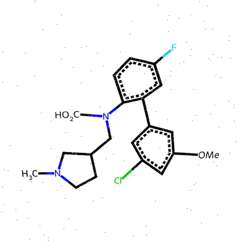 COc1cc(Cl)cc(-c2cc(F)ccc2N(CC2CCN(C)C2)C(=O)O)c1